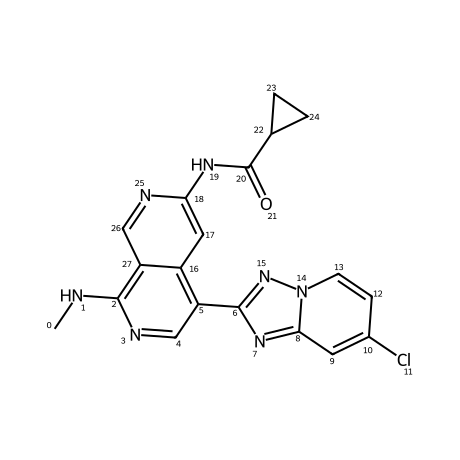 CNc1ncc(-c2nc3cc(Cl)ccn3n2)c2cc(NC(=O)C3CC3)ncc12